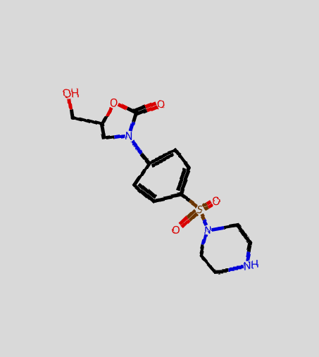 O=C1OC(CO)CN1c1ccc(S(=O)(=O)N2CCNCC2)cc1